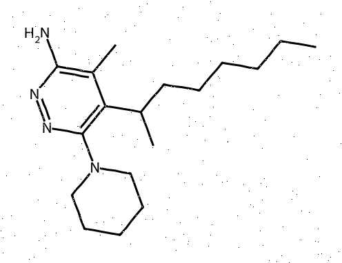 CCCCCCC(C)c1c(N2CCCCC2)nnc(N)c1C